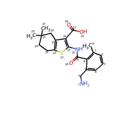 Cc1cccc(CN)c1C(=O)Nc1sc2c(c1C(=O)O)CC(C)(C)CC2